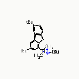 CC(C)(C)[NH][Ti]([CH3])([CH3])[c]1cc(C(C)(C)C)cc2c1Cc1ccc(C(C)(C)C)cc1-2